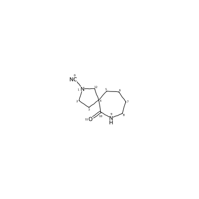 N#CN1CCC2(CCCCNC2=O)C1